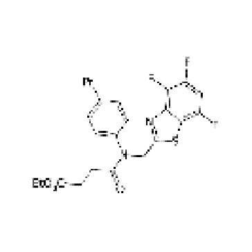 CCOC(=O)CCC(=O)N(Cc1nc2c(F)c(F)cc(F)c2s1)c1ccc(C(C)C)cc1